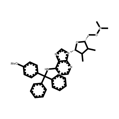 COc1ccc(C(Nc2ncnc3c2ncn3[C@@H]2O[C@H](COP(C)C)C(C)C2C)(c2ccccc2)c2ccccc2)cc1